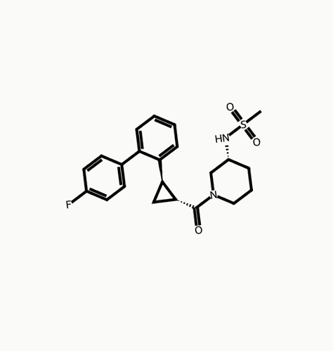 CS(=O)(=O)N[C@@H]1CCCN(C(=O)[C@@H]2C[C@H]2c2ccccc2-c2ccc(F)cc2)C1